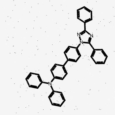 c1ccc(-c2nc(-c3ccccc3)n(-c3ccc(-c4ccc(N(c5ccccc5)c5ccccc5)cc4)cc3)n2)cc1